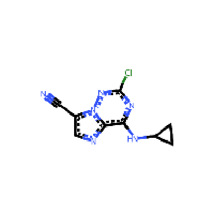 N#Cc1cnc2c(NC3CC3)nc(Cl)nn12